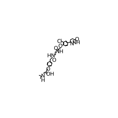 CC(C)NC[C@H](O)COc1ccc(CC(=O)NCCNC(=O)COc2ccc(C3=NNC(=O)CC3)cc2Cl)cc1